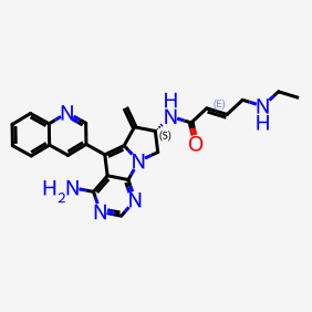 C=C1c2c(-c3cnc4ccccc4c3)c3c(N)ncnc3n2C[C@H]1NC(=O)/C=C/CNCC